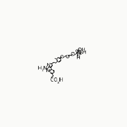 Cc1cc(OCCOCCOCC[PH](F)(F)P(=O)(O)O)ccc1CCc1cnc2c(N)nc3cc(CCC(=O)O)ccc3c2c1